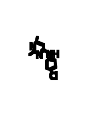 Cc1cc(Nc2ccc(Cl)cc2)nc(C)n1